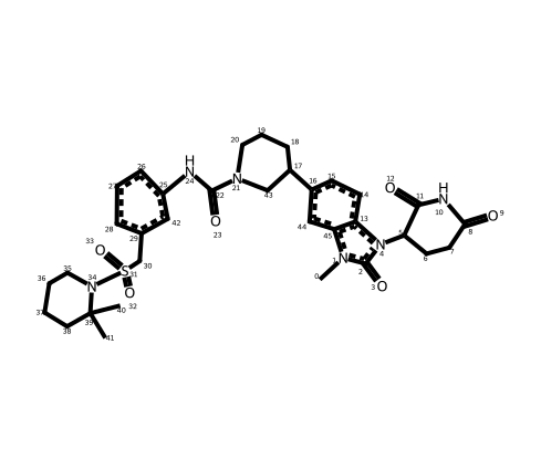 Cn1c(=O)n(C2CCC(=O)NC2=O)c2ccc(C3CCCN(C(=O)Nc4cccc(CS(=O)(=O)N5CCCCC5(C)C)c4)C3)cc21